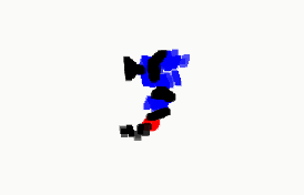 COCCn1cc(Nc2nc(C3CC3)nc3cn[nH]c23)cn1